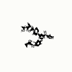 Cc1cc(Nc2cc(N3CCN(C(=O)OC(C)C(=O)OC(C)O)CC3)nc(Sc3ccc(NC(=O)C4CC4)cc3)n2)n[nH]1